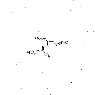 CCCCCCCCCCCCC(CC=C(C)C(=O)O)CCCCCCCCCC